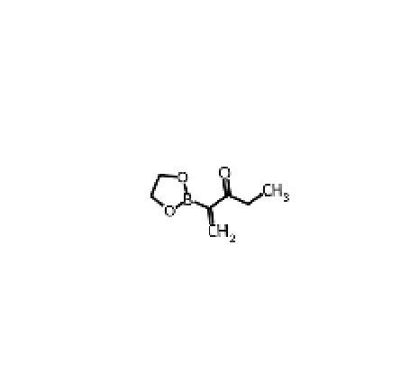 C=C(B1OCCO1)C(=O)CC